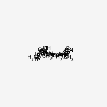 Cc1ncsc1-c1ccc(CNC(=O)[C@@H]2C[C@@H](O)CN2C(=O)[C@@H](NC(=O)CCCn2cc(COc3ccc(-c4ccc(N5C(=S)N(c6ccc(C#N)c(C(F)(F)F)c6F)C(=O)C5(C)C)cn4)cc3)nn2)C(C)(C)C)cc1